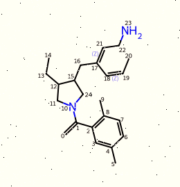 C=C(c1cc(C)ccc1C)N1CC(CC)C(CC(/C=C\C)=C/CN)C1